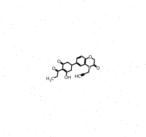 C#CCN1C(=O)COc2ccc(C3CC(=O)C(C(=O)CC)=C(O)C3)cc21